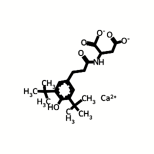 CC(C)(C)c1cc(CCC(=O)NC(CC(=O)[O-])C(=O)[O-])cc(C(C)(C)C)c1O.[Ca+2]